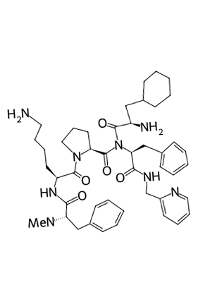 CN[C@@H](Cc1ccccc1)C(=O)N[C@@H](CCCCN)C(=O)N1CCC[C@H]1C(=O)N(C(=O)[C@H](N)CC1CCCCC1)[C@@H](Cc1ccccc1)C(=O)NCc1ccccn1